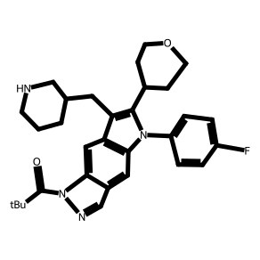 CC(C)(C)C(=O)n1ncc2cc3c(cc21)c(CC1CCCNC1)c(C1CCOCC1)n3-c1ccc(F)cc1